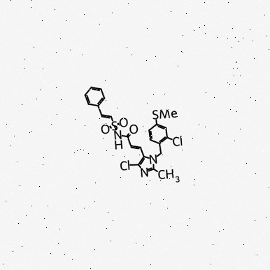 CSc1ccc(Cn2c(C)nc(Cl)c2/C=C/C(=O)NS(=O)(=O)/C=C/c2ccccc2)c(Cl)c1